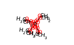 C=C(C)C(=O)OCCOC(=O)Oc1cc(OC(=O)OCCOC(=O)C(=C)C)c(OC(=O)OCCOC(=O)C(=C)C)cc1OC(=O)OCCOC(=O)C(=C)C